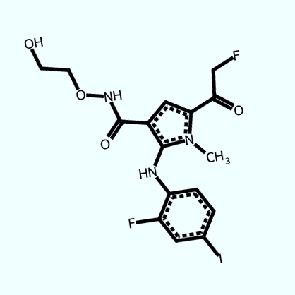 Cn1c(C(=O)CF)cc(C(=O)NOCCO)c1Nc1ccc(I)cc1F